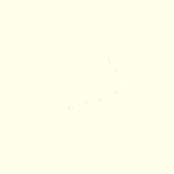 [Ce+3].[Ce+3].[O]=[Zr]([O-])[O-].[O]=[Zr]([O-])[O-].[O]=[Zr]([O-])[O-]